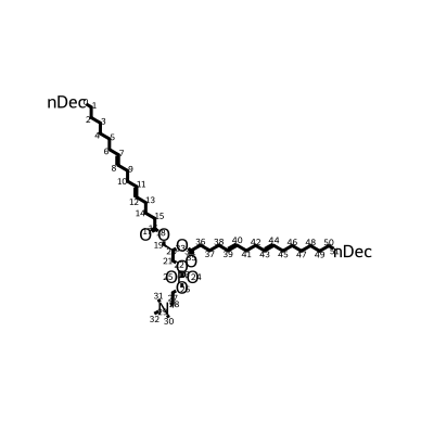 CCCCCCCCCCCCCCCC/C=C/CC/C=C/CCCC(=O)OC[C@H](COP(=O)([O-])OCC[N+](C)(C)C)OC(=O)CCC/C=C/CC/C=C/CCCCCCCCCCCCCCCC